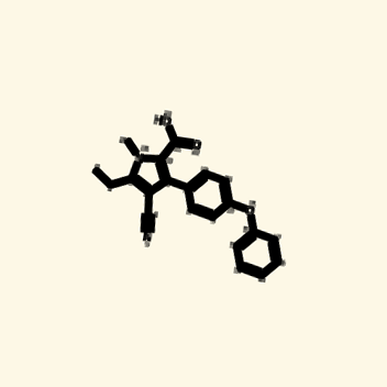 CCc1c(C#N)c(-c2ccc(Oc3ccccc3)cc2)c(C(=O)O)n1C